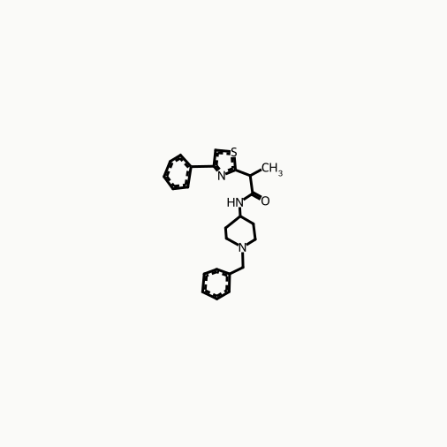 CC(C(=O)NC1CCN(Cc2ccccc2)CC1)c1nc(-c2ccccc2)cs1